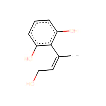 C/C(=C/CO)c1c(O)cccc1O